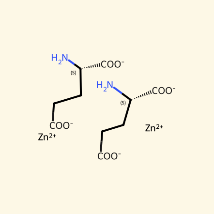 N[C@@H](CCC(=O)[O-])C(=O)[O-].N[C@@H](CCC(=O)[O-])C(=O)[O-].[Zn+2].[Zn+2]